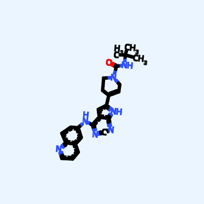 CC(C)(C)NC(=O)N1CC=C(c2cc3c(Nc4ccc5ncccc5c4)ncnc3[nH]2)CC1